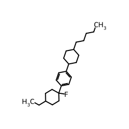 CCCCCC1CCC(c2ccc(C3(F)CCC(CC)CC3)cc2)CC1